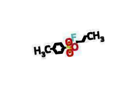 CC=CC(F)OS(=O)(=O)c1ccc(C)cc1